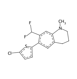 CN1CCCc2cc(-c3ccc(Cl)s3)c(C(F)F)cc21